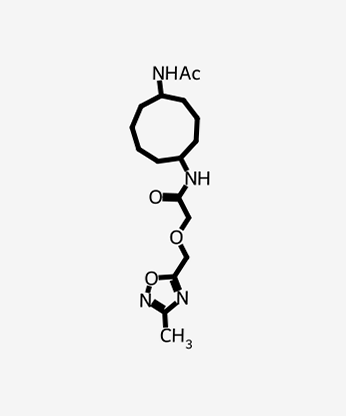 CC(=O)NC1CCCCC(NC(=O)COCc2nc(C)no2)CCC1